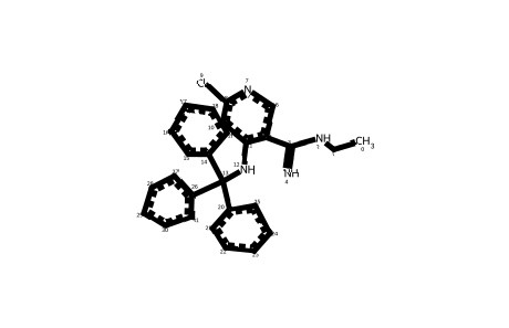 CCNC(=N)c1cnc(Cl)cc1NC(c1ccccc1)(c1ccccc1)c1ccccc1